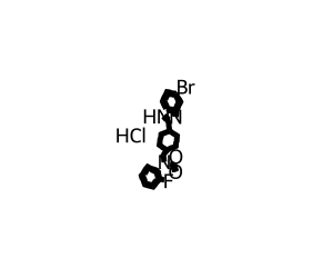 Cl.O=C1OC2(CCC(c3nc4cc(Br)ccc4[nH]3)CC2)CN1c1ccccc1F